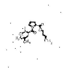 CCCCOC(=O)[C@@H]1CCCN1C(=O)[C@H](CC(C)C)NCl